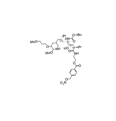 COCCCOC1CC(C[C@@H](C[C@H](NC(=O)OC(C)(C)C)[C@@H](O)C[C@H](C(=O)NCCOC(=O)c2ccc(CO[N+](=O)[O-])cc2)C(C)C)C(C)C)CNC1OC